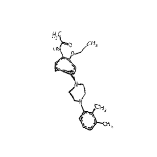 CCOc1cc(N2CCN(c3cccc(C)c3C)CC2)ccc1NC(C)=O